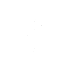 CCCCOC(=O)C(C)(CC)C(C)CCC